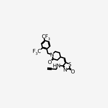 C#CCNC1=NC(=O)SC1=CC1CCN(Cc2ccc(C(F)(F)F)cc2C(F)(F)F)C(=O)C1